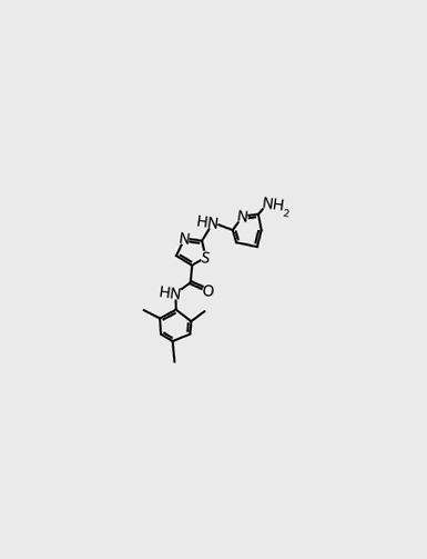 Cc1cc(C)c(NC(=O)c2cnc(Nc3cccc(N)n3)s2)c(C)c1